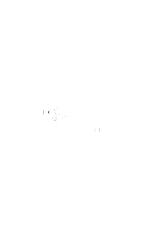 CCCCCCCCCCCCCC(O)C(C)O